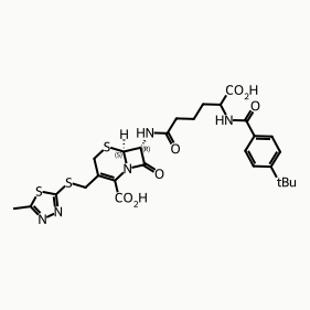 Cc1nnc(SCC2=C(C(=O)O)N3C(=O)[C@@H](NC(=O)CCCC(NC(=O)c4ccc(C(C)(C)C)cc4)C(=O)O)[C@@H]3SC2)s1